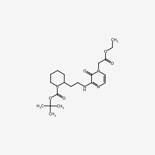 CCOC(=O)Cn1ccnc(NCCC2CCCCN2C(=O)OC(C)(C)C)c1=O